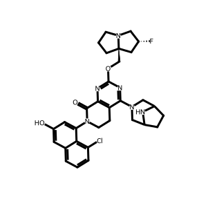 O=C1c2nc(OC[C@@]34CCCN3C[C@H](F)C4)nc(N3CC4CCC(C3)N4)c2CCN1c1cc(O)cc2cccc(Cl)c12